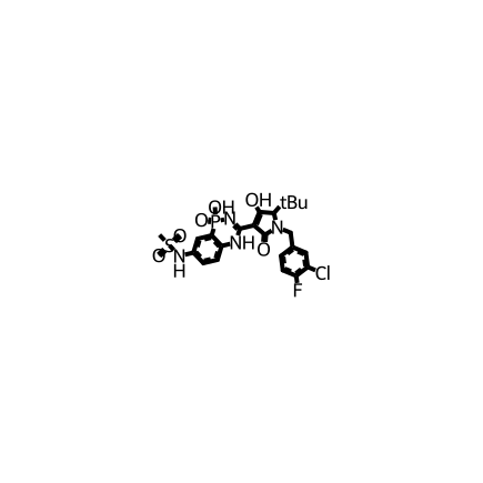 CC(C)(C)C1C(O)=C(C2=NP(=O)(O)c3cc(NS(C)(=O)=O)ccc3N2)C(=O)N1Cc1ccc(F)c(Cl)c1